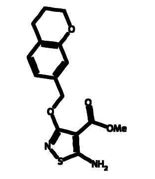 COC(=O)c1c(OCc2ccc3c(c2)OCCC3)nsc1N